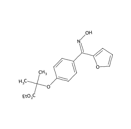 CCOC(=O)C(C)(C)Oc1ccc(C(=NO)c2ccco2)cc1